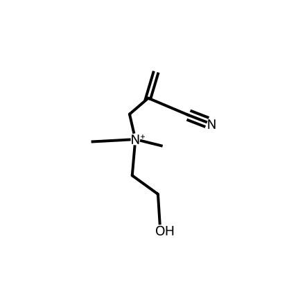 C=C(C#N)C[N+](C)(C)CCO